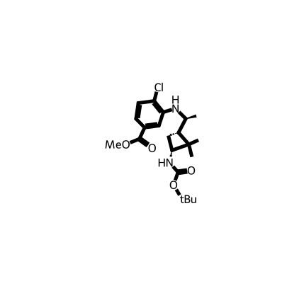 COC(=O)c1ccc(Cl)c(N[C@@H](C)[C@H]2C[C@@H](NC(=O)OC(C)(C)C)C2(C)C)c1